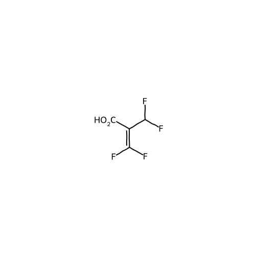 O=C(O)C(=C(F)F)C(F)F